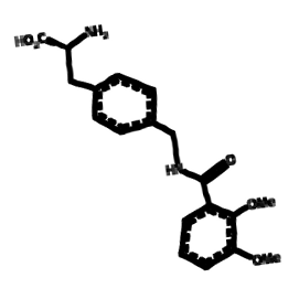 COc1cccc(C(=O)NCc2ccc(C[C@H](N)C(=O)O)cc2)c1OC